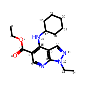 CCOC(=O)c1cnc2c(cnn2CC)c1NC1CCCCC1